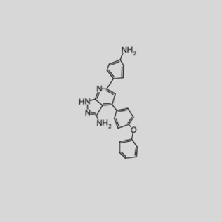 Nc1ccc(-c2cc(-c3ccc(Oc4ccccc4)cc3)c3c(N)n[nH]c3n2)cc1